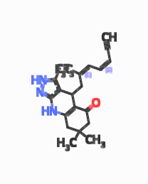 C#C/C=C\C=C(/CC1C2=C(CC(C)(C)CC2=O)Nc2n[nH]c(C(F)(F)F)c21)C(F)(F)F